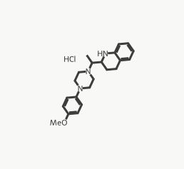 COc1ccc(N2CCN(C(C)C3CCc4ccccc4N3)CC2)cc1.Cl